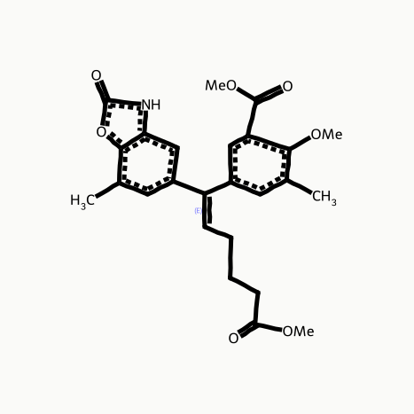 COC(=O)CCC/C=C(\c1cc(C)c(OC)c(C(=O)OC)c1)c1cc(C)c2oc(=O)[nH]c2c1